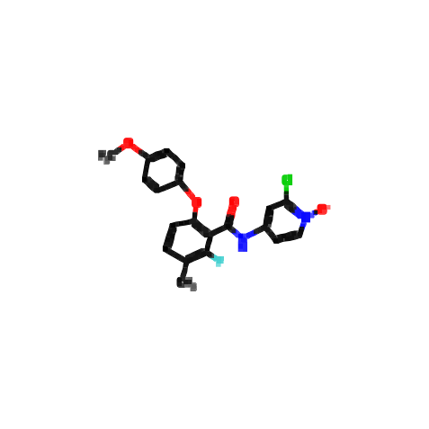 Cc1ccc(Oc2ccc(OC(F)(F)F)cc2)c(C(=O)Nc2cc[n+]([O-])c(Cl)c2)c1F